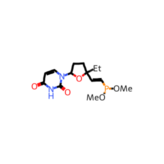 CCC1(/C=C/P(OC)OC)CCC(n2ccc(=O)[nH]c2=O)O1